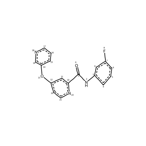 O=C(Nc1cccc(F)c1)c1cc(Oc2cccnc2)ccn1